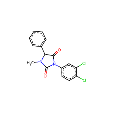 CN1C(=O)N(c2ccc(Cl)c(Cl)c2)C(=O)C1c1cc[c]cc1